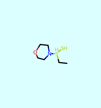 CC[SH](S)N1CCOCC1